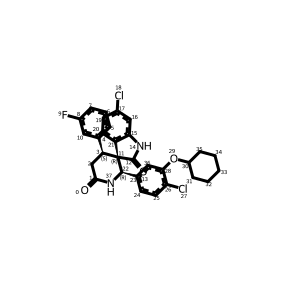 O=C1C[C@@H](c2cccc(F)c2)[C@]2(C(=O)Nc3cc(Cl)ccc32)[C@@H](c2ccc(Cl)c(OC3CCCCC3)c2)N1